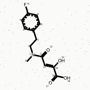 CN(CCc1ccc(F)cc1)C(=O)/C=C(\O)C(=O)O